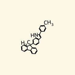 Cc1ccc(-c2cc3ccc(C4(C)c5ccccc5-c5ccccc54)cc3[nH]2)cc1